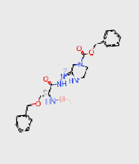 BN[C@H](COCc1ccccc1)C(=O)N/N=C1/CN(C(=O)OCc2ccccc2)CCN1